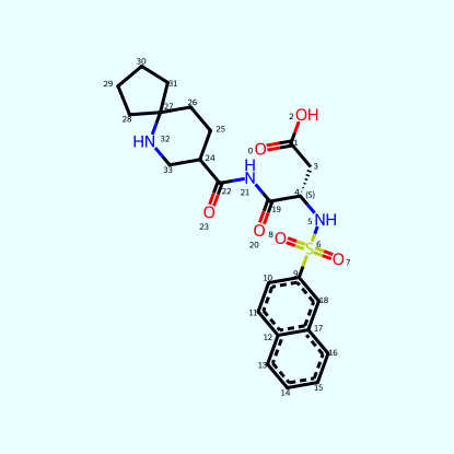 O=C(O)C[C@H](NS(=O)(=O)c1ccc2ccccc2c1)C(=O)NC(=O)C1CCC2(CCCC2)NC1